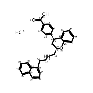 Cl.O=C(O)c1ccc([C@@H]2C[C@H](CNCCc3cccc4ccccc34)Oc3ccccc32)cc1